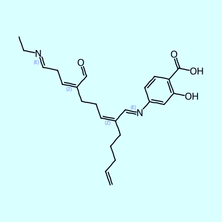 C=CCCCC(=C/CC/C(C=O)=C/C/C=N/CC)/C=N/c1ccc(C(=O)O)c(O)c1